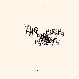 CC(C)(C)CC(=O)CC[C@H](NC(=O)NC(CCCCNC(=O)[C@H](Cc1ccc2c(c1)C=CCC2)NC=O)C(=O)OC(C)(C)C)C(=O)CC(C)(C)C